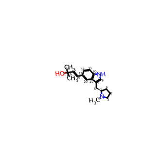 CN1CCC[C@@H]1Cc1c[nH]c2ccc(/C=C/C(C)(C)O)cc12